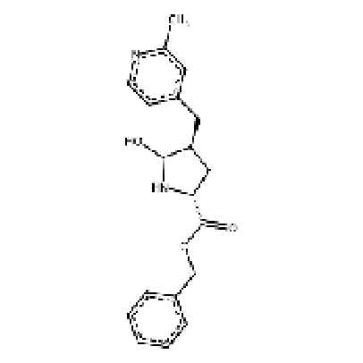 Cc1cc(C[C@H]2C[C@H](C(=O)OCc3ccccc3)NC2O)ccn1